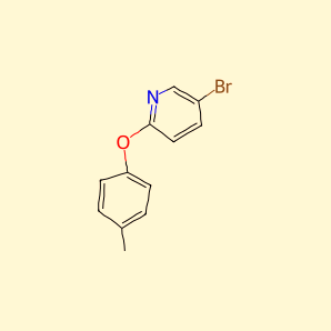 Cc1ccc(Oc2ccc(Br)cn2)cc1